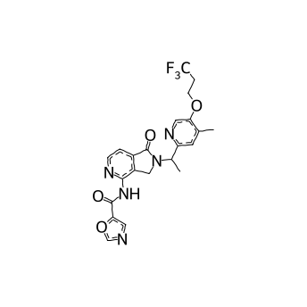 Cc1cc(C(C)N2Cc3c(ccnc3NC(=O)c3cnco3)C2=O)ncc1OCCC(F)(F)F